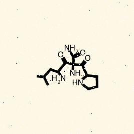 CC(C)CC(N)C(=O)C(N)(C(N)=O)C(=O)C1CCCN1